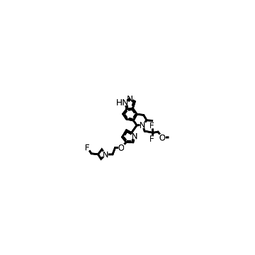 COCC(F)(F)CN1C(C)Cc2c(ccc3[nH]ncc23)C1c1ccc(OCCN2CC(CF)C2)cn1